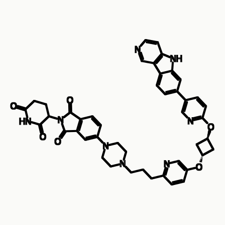 O=C1CCC(N2C(=O)c3ccc(N4CCN(CCCc5ccc(O[C@H]6C[C@H](Oc7ccc(-c8ccc9c(c8)[nH]c8ccncc89)cn7)C6)cn5)CC4)cc3C2=O)C(=O)N1